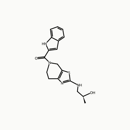 C[C@H](O)CNc1nc2c(s1)CN(C(=O)c1cc3ccccc3[nH]1)CC2